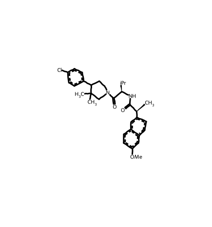 COc1ccc2cc([C@H](C)C(=O)N[C@@H](C(=O)N3CCC(c4ccc(Cl)cc4)C(C)(C)C3)C(C)C)ccc2c1